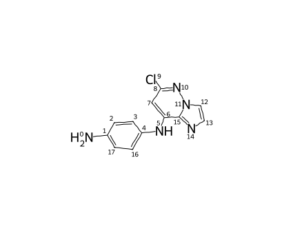 Nc1ccc(Nc2cc(Cl)nn3ccnc23)cc1